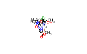 CC[SH](=O)(CC=O)c1ccc(CNC(=O)c2nn(C(C)(C)C)c(Oc3cncc(CC(C)O)c3C(F)(F)F)c2C)nc1